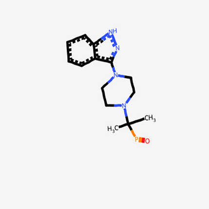 CC(C)(P=O)N1CCN(c2n[nH]c3ccccc23)CC1